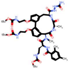 Cc1ccc(C(=O)N[C@@H](CCNC(=O)OC(C)(C)C)C(=O)N(C)[C@@H]2C(=O)N[C@@H](C)C(=O)N[C@H](C(=O)NNC(N)=O)Cc3ccc(OCCNC(=O)OC(C)(C)C)c(c3)-c3cc2ccc3OCCNC(=O)OC(C)(C)C)c(C)c1